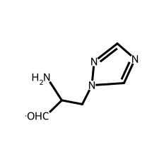 NC([C]=O)Cn1cncn1